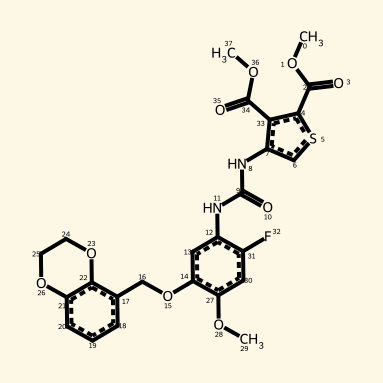 COC(=O)c1scc(NC(=O)Nc2cc(OCc3cccc4c3OCCO4)c(OC)cc2F)c1C(=O)OC